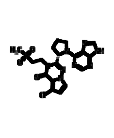 CS(=O)(=O)CCn1c([C@@H]2CCCN2c2ncnc3[nH]cnc23)nn2ccc(Cl)c2c1=O